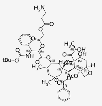 CC(=O)O[C@@]12CO[C@@H]1C[C@H](O)[C@@](C)(C(=O)[C@@H](C)O)[C@@H]2[C@H](OC(=O)c1ccccc1)[C@@]1(O)C[C@H](OC(=O)[C@H](OC(=O)COC(=O)CCN)[C@@H](NC(=O)OC(C)(C)C)c2ccccc2)C(C)=CC(C)(C)C1